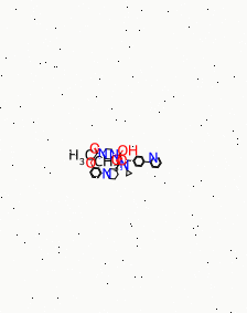 CC(C)(Oc1cccc(N2CCCC(C(=O)N(Cc3ccc(-c4ccccn4)cc3)C3CC3)C2)c1)C(=O)N1CCN(C(=O)O)CC1